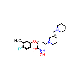 Cc1cc(O[C@H](CCN2CCC[C@@H](CN3CCCCC3)C2)C(=O)NO)ccc1F